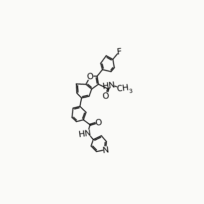 CNC(=O)c1c(-c2ccc(F)cc2)oc2ccc(-c3cccc(C(=O)Nc4ccncc4)c3)cc12